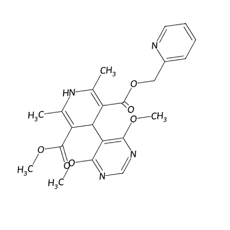 COC(=O)C1=C(C)NC(C)=C(C(=O)OCc2ccccn2)C1c1c(OC)ncnc1OC